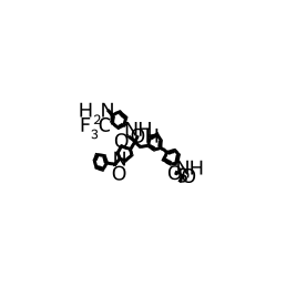 CS(=O)(=O)Nc1ccc(-c2cccc(CC(O)(C(=O)Nc3ccc(N)c(C(F)(F)F)c3)C3CCN(C(=O)c4ccccc4)CC3)c2)cc1